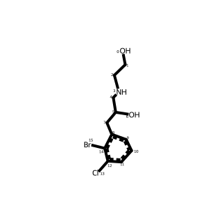 OCCNCC(O)Cc1cccc(Cl)c1Br